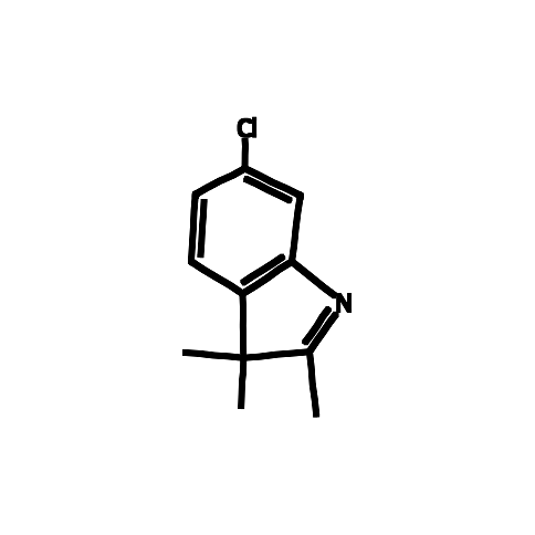 CC1=Nc2cc(Cl)ccc2C1(C)C